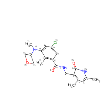 Cc1cc(C)c(CNC(=O)c2cc(Cl)cc(N(C)C3COC3)c2C)c(=O)[nH]1